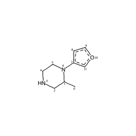 CC1CNCCN1c1ccoc1